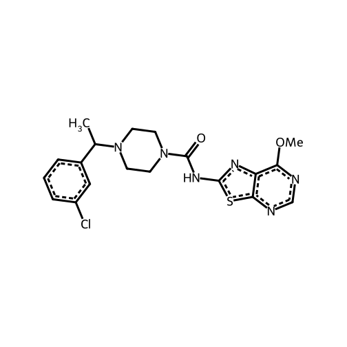 COc1ncnc2sc(NC(=O)N3CCN(C(C)c4cccc(Cl)c4)CC3)nc12